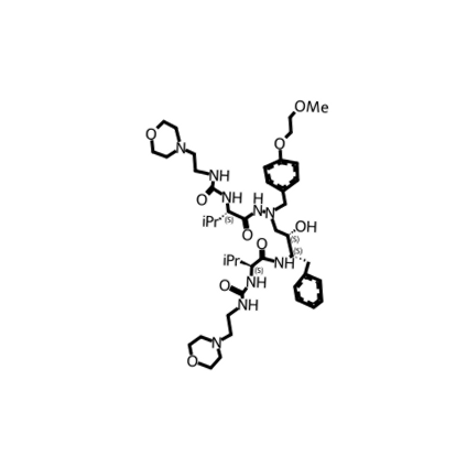 COCCOc1ccc(CN(C[C@H](O)[C@H](Cc2ccccc2)NC(=O)[C@@H](NC(=O)NCCN2CCOCC2)C(C)C)NC(=O)[C@@H](NC(=O)NCCN2CCOCC2)C(C)C)cc1